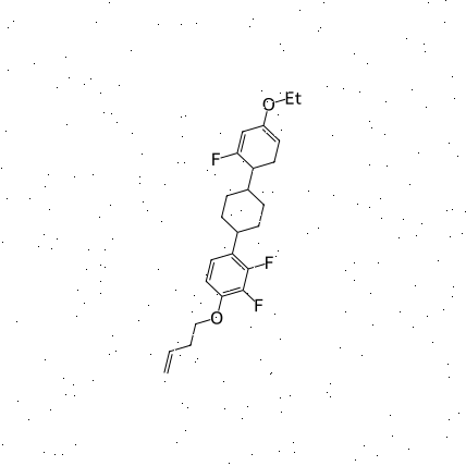 C=CCCOc1ccc(C2CCC(C3CC=C(OCC)C=C3F)CC2)c(F)c1F